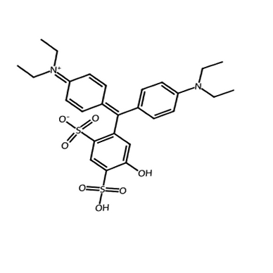 CCN(CC)c1ccc(C(=C2C=CC(=[N+](CC)CC)C=C2)c2cc(O)c(S(=O)(=O)O)cc2S(=O)(=O)[O-])cc1